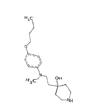 CCCCOc1ccc(N(C)CCC2(O)CCNCC2)cc1